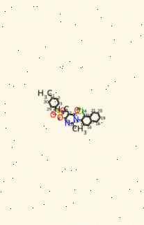 Cc1ccc(S(=O)(=O)Oc2nc(C)n(-c3ccc4ccccc4c3Cl)c(=O)c2C)cc1